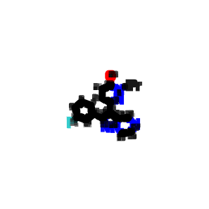 CC(C)n1nc(-c2c(-c3cccc(F)c3)nn3ccncc23)ccc1=O